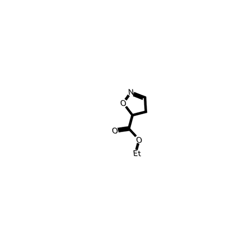 CCOC(=O)C1CC=NO1